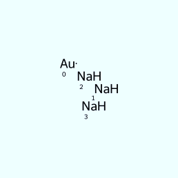 [Au].[NaH].[NaH].[NaH]